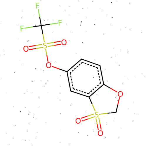 O=S1(=O)COc2ccc(OS(=O)(=O)C(F)(F)F)cc21